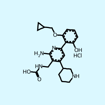 Cl.Nc1nc(-c2c(O)cccc2OCC2CC2)cc(C2CCCNC2)c1CNC(=O)O